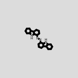 c1ccc2c(c1)[nH]c1c(N=Nc3cccc4c3[nH]c3ccccc34)cccc12